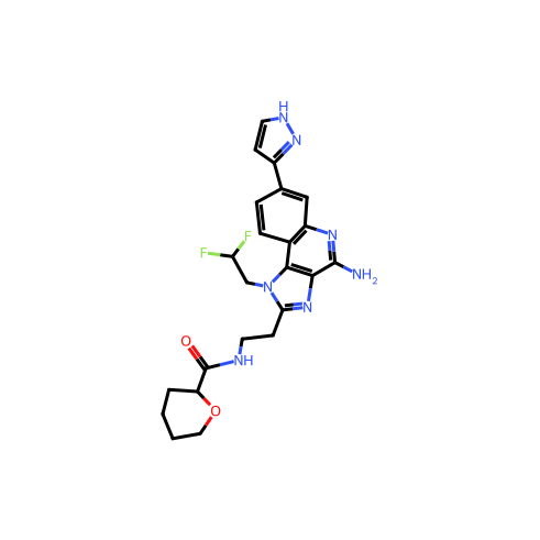 Nc1nc2cc(-c3cc[nH]n3)ccc2c2c1nc(CCNC(=O)C1CCCCO1)n2CC(F)F